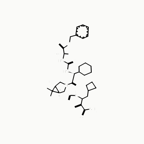 CC(C)[C@](C)(NC(=O)N[C@H](C(=O)N1C[C@H]2[C@@H]([C@H]1C(=O)NC(CC1CCC1)C(=O)C(N)=O)C2(C)C)C1CCCCC1)C(=O)OCc1ccccc1